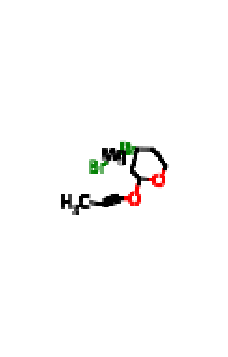 CC#COC1CCCCO1.[Br][Mg][Br]